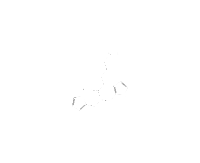 CC(=O)NCCCC[C](C=O)N(Cc1cccs1)Cc1cccs1